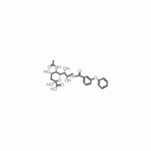 CC(=O)N[C@H]1[C@H]([C@H](O)[C@H](O)CNC(=O)c2cccc(Oc3ccccc3)c2)O[C@](O)(C(=O)O)C[C@@H]1O